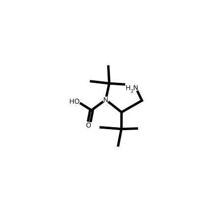 CC(C)(C)C(CN)N(C(=O)O)C(C)(C)C